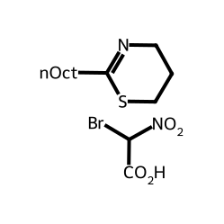 CCCCCCCCC1=NCCCS1.O=C(O)C(Br)[N+](=O)[O-]